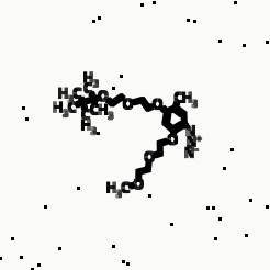 COCCOCCOc1cc(OCCOCCOC(C)(C)C(C)(C)C)c(C)cc1N=[N+]=[N-]